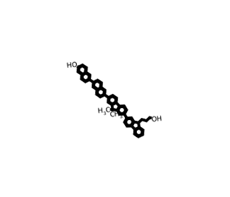 CC1(C)c2cc(-c3ccc4c(c3)C(CCCO)c3ccccc3-4)ccc2-c2ccc(-c3ccc4cc(-c5ccc6cc(O)ccc6c5)ccc4c3)cc21